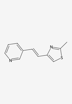 Cc1nc(/C=C/c2cccnc2)cs1